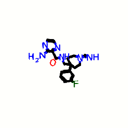 N=CN1CCC(CNC(=O)c2nccnc2N)(c2cccc(F)c2)CC1